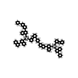 c1ccc(-c2ccc3ccc(-c4ccc(-c5nc(-c6ccc(-c7cccc8ccccc78)c7ccccc67)nc(-c6cccc7c6sc6cccc(-c8ccc(-c9ccc%10ccc(-c%11ccc(-c%12nc(-c%13ccc(-c%14ccccc%14)c%14ccccc%13%14)nc(-c%13cccc%14c%13sc%13ccccc%13%14)n%12)c%12ccccc%11%12)cc%10c9)cc8)c67)n5)c5ccccc45)cc3c2)cc1